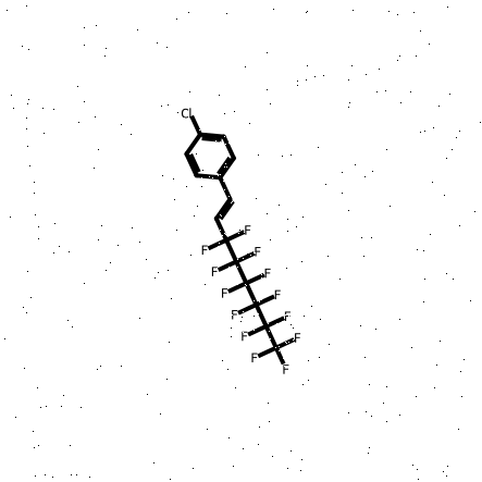 FC(F)(F)C(F)(F)C(F)(F)C(F)(F)C(F)(F)C(F)(F)C=Cc1ccc(Cl)cc1